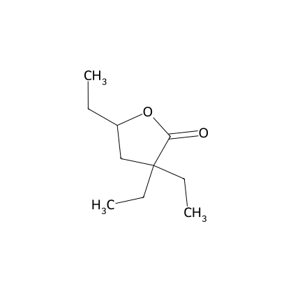 CCC1CC(CC)(CC)C(=O)O1